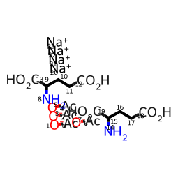 CC(=O)[O-].CC(=O)[O-].CC(=O)[O-].CC(=O)[O-].NC(CCC(=O)O)C(=O)O.NC(CCC(=O)O)C(=O)O.[Na+].[Na+].[Na+].[Na+]